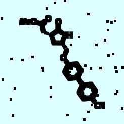 COC(=O)C[C@H]1C[C@H](COc2ccc(-c3ccc(C#N)cc3)cc2)NC1=O